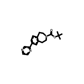 CC(C)(C)OC(=O)N1CCc2ccc(-c3cnccn3)cc2CC1